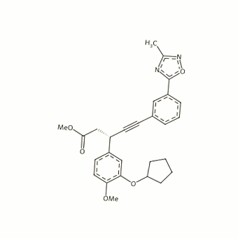 COC(=O)C[C@H](C#Cc1cccc(-c2nc(C)no2)c1)c1ccc(OC)c(OC2CCCC2)c1